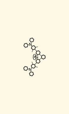 CO[Si]1(OC)c2cc(-c3c(C)cc(N(c4ccccc4)c4ccccc4)cc3C)ccc2-c2ccccc2-c2ccc(-c3c(C)cc(N(c4ccccc4)c4ccccc4)cc3C)cc21